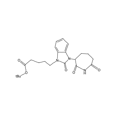 CC(C)(C)OC(=O)CCCCn1c(=O)n(C2CCCC(=O)NC2=O)c2ccccc21